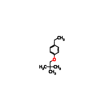 CCc1ccc(OCC(C)(C)C)cc1